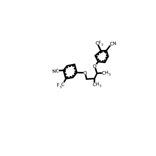 CC(COc1ccc(C#N)c(C(F)(F)F)c1)C(C)Oc1ccc(C#N)c(C(F)(F)F)c1